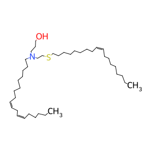 CCCCC/C=C\C/C=C\CCCCCCCCN(CCCO)CCSCCCCCCCC/C=C\CCCCCCCC